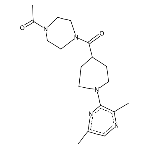 CC(=O)N1CCN(C(=O)C2CCN(c3nc(C)cnc3C)CC2)CC1